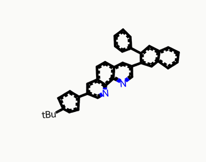 CC(C)(C)c1ccc(-c2cnc3c(ccc4cc(-c5cc6ccccc6cc5-c5ccccc5)cnc43)c2)cc1